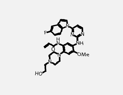 C=CC(=O)Nc1cc(Nc2nccc(-n3ccc4cc(F)ccc43)n2)c(OC)cc1N1CCN(CCO)CC1